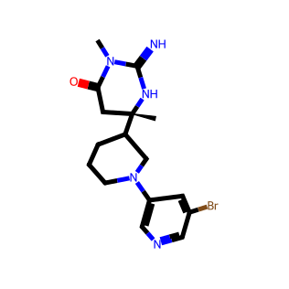 CN1C(=N)N[C@](C)(C2CCCN(c3cncc(Br)c3)C2)CC1=O